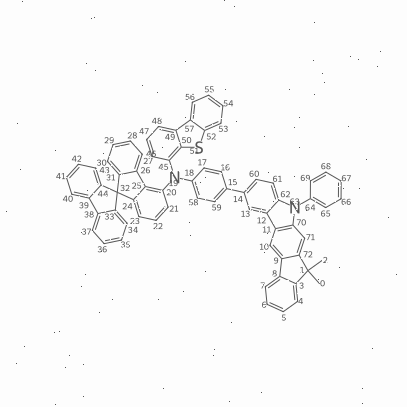 CC1(C)c2ccccc2-c2cc3c4cc(-c5ccc(N(c6cccc7c6-c6ccccc6C76c7ccccc7-c7ccccc76)c6cccc7c6sc6ccccc67)cc5)ccc4n(-c4ccccc4)c3cc21